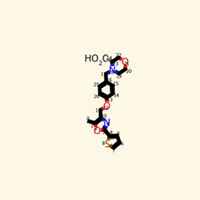 Cc1oc(-c2cccs2)nc1COc1ccc(CN2CCOC[C@H]2C(=O)O)cc1